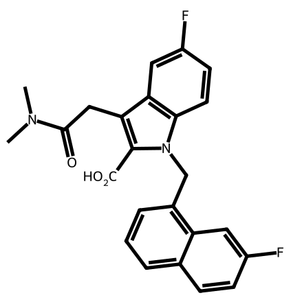 CN(C)C(=O)Cc1c(C(=O)O)n(Cc2cccc3ccc(F)cc23)c2ccc(F)cc12